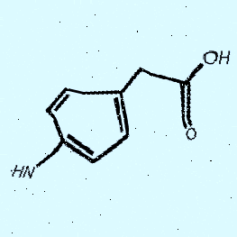 [NH]c1ccc(CC(=O)O)cc1